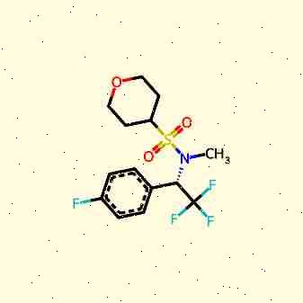 CN([C@@H](c1ccc(F)cc1)C(F)(F)F)S(=O)(=O)C1CCOCC1